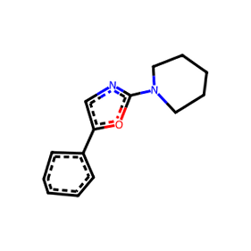 c1ccc(-c2cnc(N3CCCCC3)o2)cc1